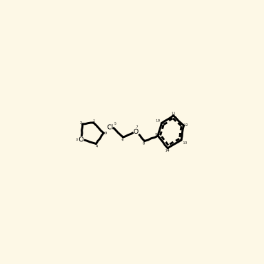 C1CCOC1.ClCOCc1ccccc1